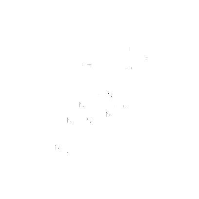 CC#CCn1c(N2CCCC(N)C2)nc2c1c(=O)n(Cc1ccccc1OC(F)F)c(=O)n2-c1ccccc1